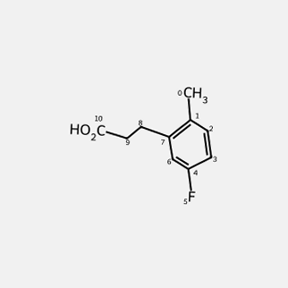 Cc1ccc(F)cc1CCC(=O)O